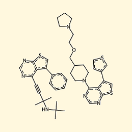 CC(C)(C)NC(C)(C)C#Cc1ncnc2scc(-c3ccccc3)c12.c1nc(N2CCC(COCCN3CCCC3)CC2)c2c(-c3ccsc3)csc2n1